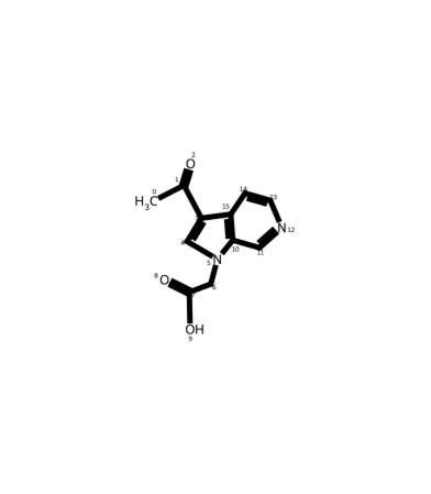 CC(=O)c1cn(CC(=O)O)c2cnccc12